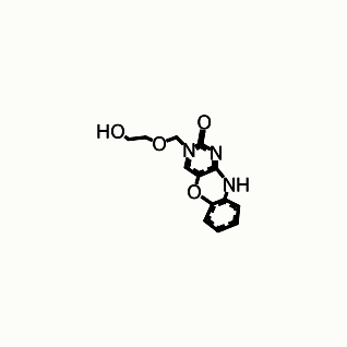 O=c1nc2c(cn1COCCO)Oc1ccccc1N2